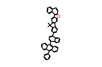 CC1(C)c2cc(-c3ccc(-c4c5ccccc5c(-c5ccccc5)c5ccccc45)c4ccccc34)ccc2-c2cc3oc4ccc5ccccc5c4c3cc21